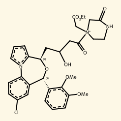 CCOC(=O)C[N+]1(C(=O)CC(O)C[C@H]2O[C@H](c3cccc(OC)c3OC)c3cc(Cl)ccc3-n3cccc32)CCNC(=O)C1